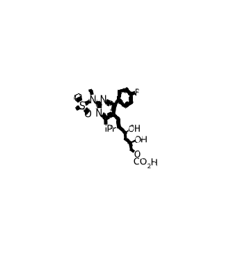 CC(C)c1nc(N(C)S(C)(=O)=O)nc(-c2ccc(F)cc2)c1/C=C/[C@@H](O)C[C@@H](O)COC(=O)O